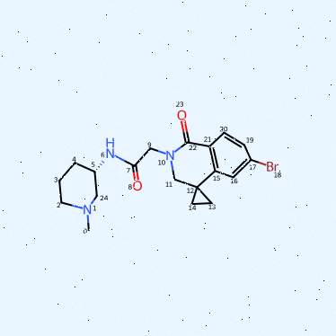 CN1CCC[C@H](NC(=O)CN2CC3(CC3)c3cc(Br)ccc3C2=O)C1